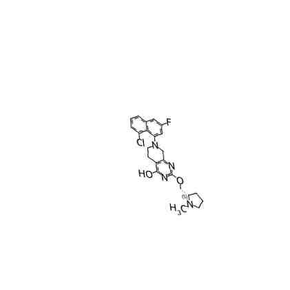 CN1CCC[C@H]1COc1nc(O)c2c(n1)CN(c1cc(F)cc3cccc(Cl)c13)CC2